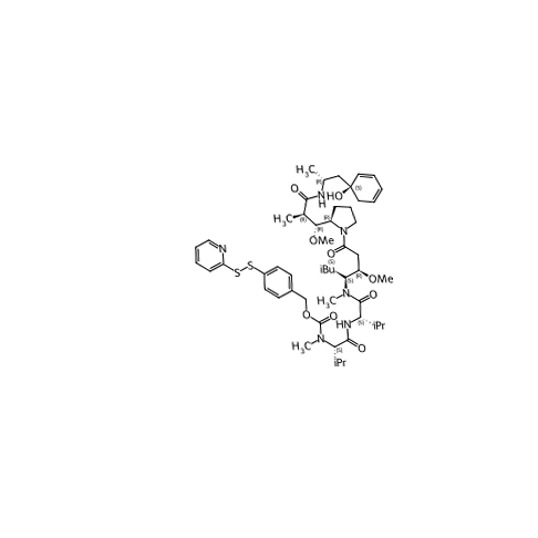 CC[C@H](C)[C@@H]([C@@H](CC(=O)N1CCC[C@@H]1[C@H](OC)[C@@H](C)C(=O)N[C@H](C)C[C@]1(O)C=CC=CC1)OC)N(C)C(=O)[C@@H](NC(=O)[C@H](C(C)C)N(C)C(=O)OCc1ccc(SSc2ccccn2)cc1)C(C)C